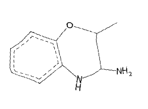 CC1Oc2ccccc2NC1N